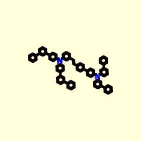 C(=C\c1cccc(N(c2ccc(-c3cccc(-c4ccccc4)c3)cc2)c2ccc(-c3cccc(-c4ccccc4)c3)cc2)c1)/c1ccc(-c2ccc(N(c3cccc(-c4ccccc4)c3)c3cccc(-c4ccccc4)c3)cc2)cc1